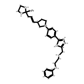 CCCC1(C/C=C/C2CCN(c3ccc(-c4nnc(CSCCOc5ccccc5)o4)cc3)C2)OCCO1